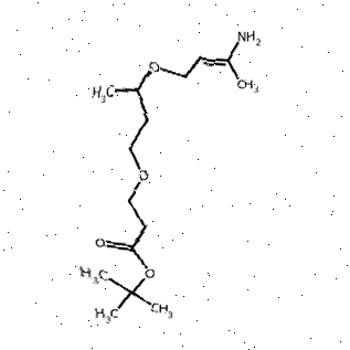 C/C(N)=C\COC(C)CCOCCC(=O)OC(C)(C)C